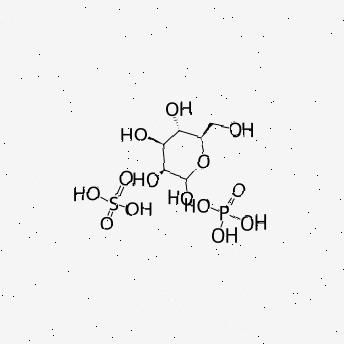 O=P(O)(O)O.O=S(=O)(O)O.OC[C@H]1OC(O)[C@@H](O)[C@@H](O)[C@@H]1O